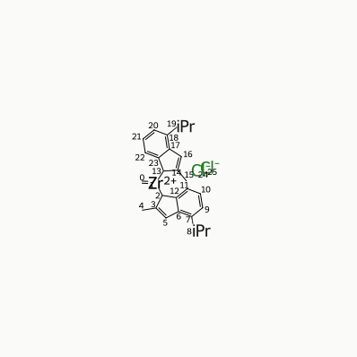 [CH2]=[Zr+2]([CH]1C(C)=Cc2c(C(C)C)cccc21)[CH]1C(C)=Cc2c(C(C)C)cccc21.[Cl-].[Cl-]